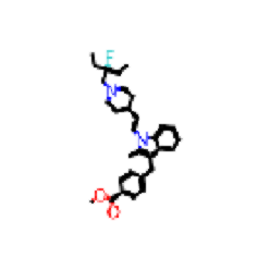 CCC(F)(CC)CN1CCC(CCn2c(C)c(Cc3ccc(C(=O)OC)cc3)c3ccccc32)CC1